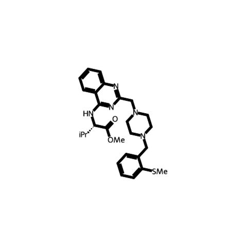 COC(=O)[C@@H](Nc1nc(CN2CCN(Cc3ccccc3SC)CC2)nc2ccccc12)C(C)C